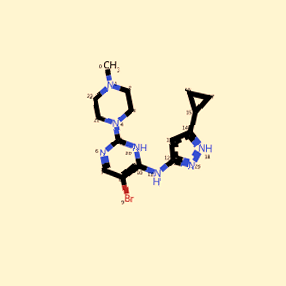 CN1CCN(C2N=CC(Br)=C(Nc3cc(C4CC4)[nH]n3)N2)CC1